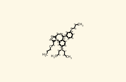 CCCOCc1nnc2n1-c1cc(N(CCC)CCC)ccc1C(c1cccc(SCCC)c1)=NC2